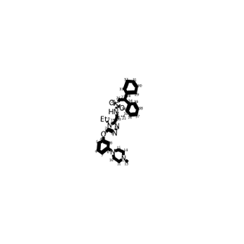 CCn1c(Oc2cccc(N3CCN(C)CC3)c2)nnc1[C@@H](C)NS(=O)(=O)CC(c1ccccc1)c1ccccc1